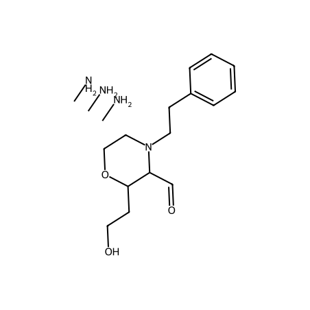 CN.CN.CN.O=CC1C(CCO)OCCN1CCc1ccccc1